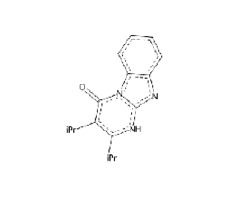 CC(C)c1[nH]c2nc3ccccc3n2c(=O)c1C(C)C